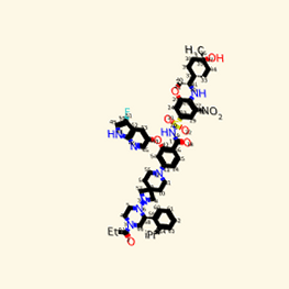 CCC(=O)N1CCN(N2CC3(CCN(c4ccc(C(=O)NS(=O)(=O)c5cc6c(c([N+](=O)[O-])c5)N[C@@H]([C@H]5CC[C@](C)(O)CC5)CO6)c(Oc5cnc6[nH]cc(F)c6c5)c4)CC3)C2)[C@@H](c2ccccc2C(C)C)C1